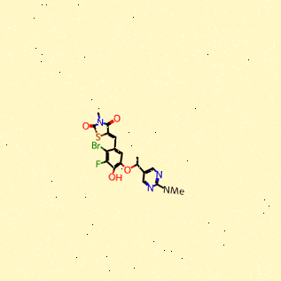 CNc1ncc(C(C)Oc2cc(/C=C3\SC(=O)N(C)C3=O)c(Br)c(F)c2O)cn1